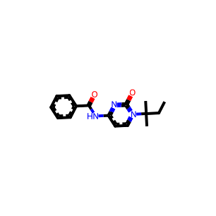 CCC(C)(C)n1ccc(NC(=O)c2ccccc2)nc1=O